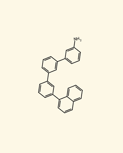 Nc1cccc(-c2cccc(-c3cccc(-c4cccc5ccccc45)c3)c2)c1